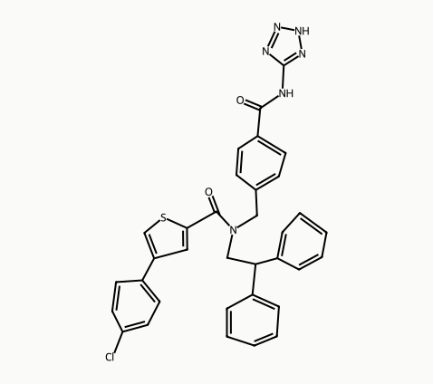 O=C(Nc1nn[nH]n1)c1ccc(CN(CC(c2ccccc2)c2ccccc2)C(=O)c2cc(-c3ccc(Cl)cc3)cs2)cc1